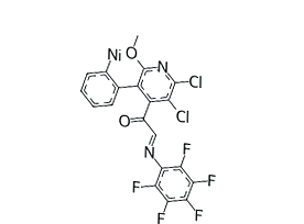 COc1nc(Cl)c(Cl)c(C(=O)C=Nc2c(F)c(F)c(F)c(F)c2F)c1-c1cccc[c]1[Ni]